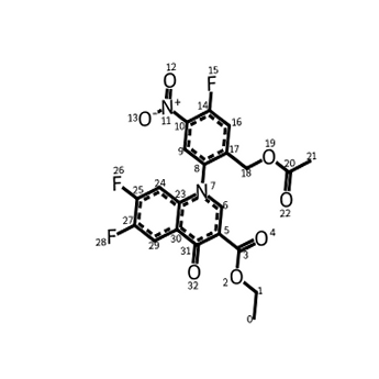 CCOC(=O)c1cn(-c2cc([N+](=O)[O-])c(F)cc2COC(C)=O)c2cc(F)c(F)cc2c1=O